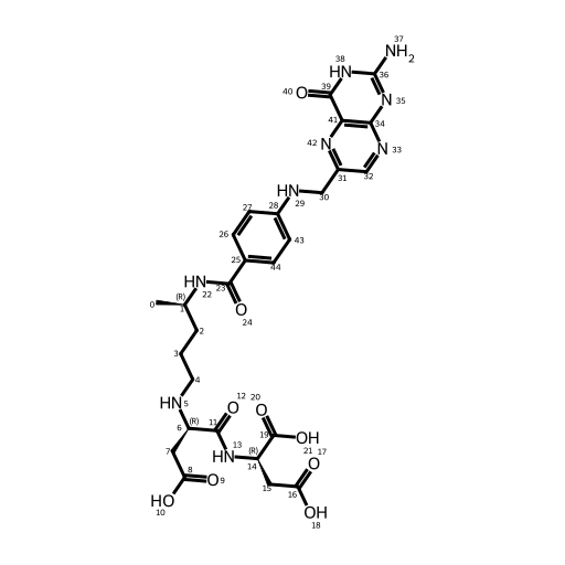 C[C@H](CCCN[C@H](CC(=O)O)C(=O)N[C@H](CC(=O)O)C(=O)O)NC(=O)c1ccc(NCc2cnc3nc(N)[nH]c(=O)c3n2)cc1